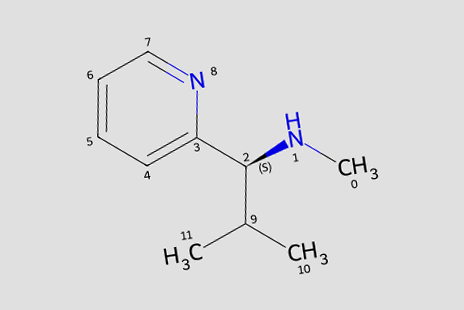 CN[C@H](c1ccccn1)C(C)C